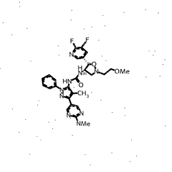 CNc1ncc(-c2nn(-c3ccccc3)c(NC(=O)N[C@@H]3CN(CCOC)O[C@H]3c3cnc(F)c(F)c3)c2C)cn1